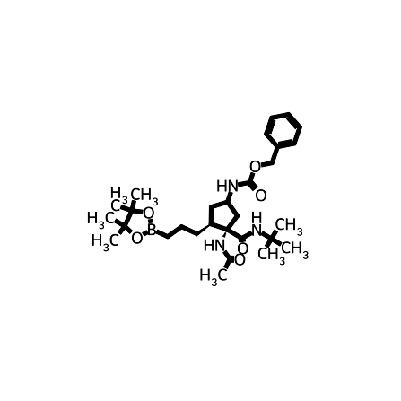 CC(=O)N[C@@]1(C(=O)NC(C)(C)C)CC(NC(=O)OCc2ccccc2)C[C@@H]1CCCB1OC(C)(C)C(C)(C)O1